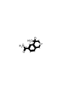 CC1(F)COCc2ccc(C(N)=O)cc21